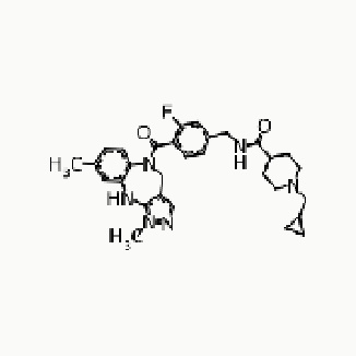 Cc1ccc2c(c1)Nc1c(cnn1C)CN2C(=O)c1ccc(CNC(=O)C2CCN(CC3CC3)CC2)cc1F